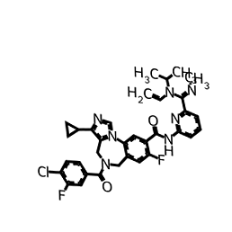 C=CN(/C(=N\C)c1cccc(NC(=O)c2cc3c(cc2F)CN(C(=O)c2ccc(Cl)c(F)c2)Cc2c(C4CC4)ncn2-3)n1)C(C)C